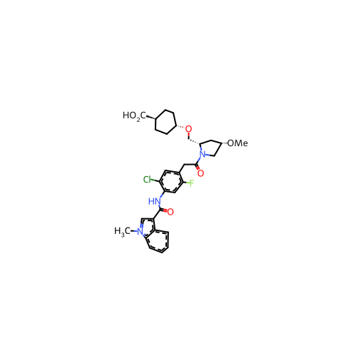 CO[C@H]1C[C@@H](CO[C@H]2CC[C@H](C(=O)O)CC2)N(C(=O)Cc2cc(Cl)c(NC(=O)c3cn(C)c4ccccc34)cc2F)C1